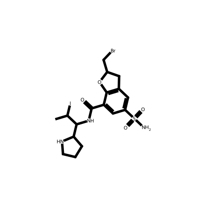 CC(I)C(NC(=O)c1cc(S(N)(=O)=O)cc2c1OC(CBr)C2)C1CCCN1